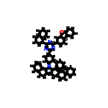 c1ccc(-c2ccc(-c3cc(-c4nc(-c5ccc6c(c5)oc5ccccc56)nc(-c5cccc6ccccc56)n4)ccc3-n3c4cc5ccccc5cc4c4ccc5ccccc5c43)cc2)cc1